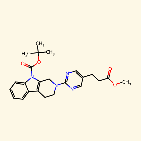 COC(=O)CCc1cnc(N2CCc3c(n(C(=O)OC(C)(C)C)c4ccccc34)C2)nc1